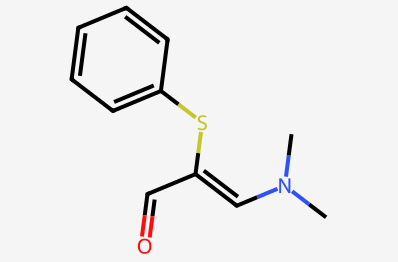 CN(C)/C=C(/C=O)Sc1ccccc1